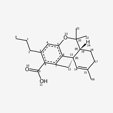 CCCc1cc2c3c(c1C(=O)O)C[C@]31C=C(C)CC[C@H]1C(C)(C)O2